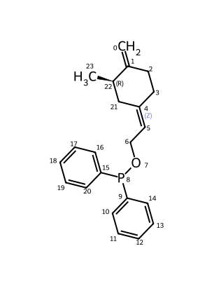 C=C1CC/C(=C/COP(c2ccccc2)c2ccccc2)C[C@H]1C